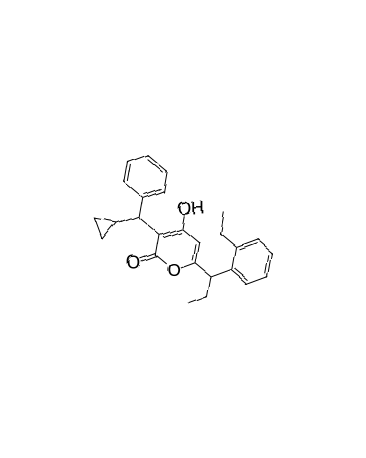 CCc1ccccc1C(CC)c1cc(O)c(C(c2ccccc2)C2CC2)c(=O)o1